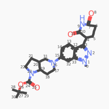 Cn1nc(C2CCC(=O)NC2=O)c2ccc(N3CCC4C(CCN4C(=O)OC(C)(C)C)C3)cc21